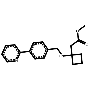 COC(=O)CC1(NCc2ccc(-c3ccccn3)cc2)CCC1